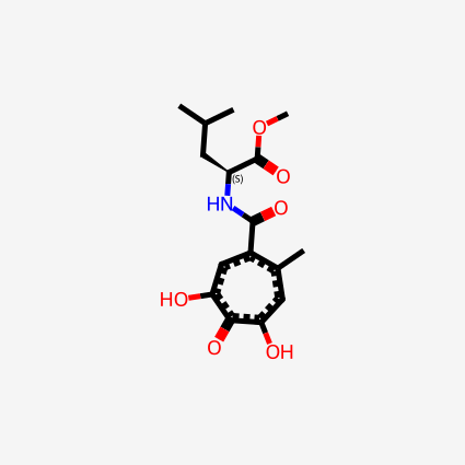 COC(=O)[C@H](CC(C)C)NC(=O)c1cc(O)c(=O)c(O)cc1C